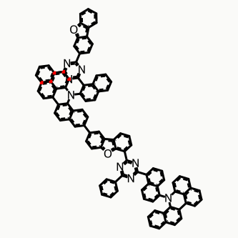 c1ccc(-c2nc(-c3ccc4c(c3)oc3ccccc34)nc(-c3c(N4c5c(ccc6cc(-c7ccc8oc9c(-c%10nc(-c%11ccccc%11)nc(-c%11cccc%12c(N%13c%14c(ccc%15ccccc%14%15)-c%14cccc%15cccc%13c%14%15)cccc%11%12)n%10)cccc9c8c7)ccc56)-c5cccc6cccc4c56)ccc4ccccc34)n2)cc1